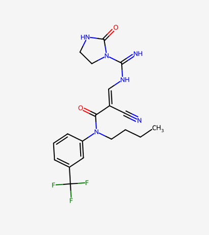 CCCCN(C(=O)C(C#N)=CNC(=N)N1CCNC1=O)c1cccc(C(F)(F)F)c1